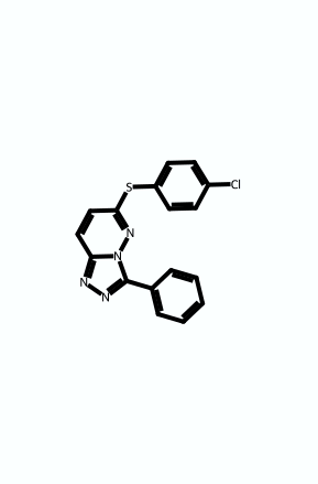 Clc1ccc(Sc2ccc3nnc(-c4ccccc4)n3n2)cc1